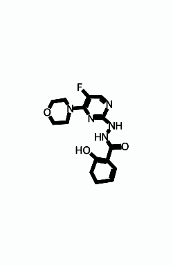 O=C(NNc1ncc(F)c(N2CCOCC2)n1)C1=C(O)CCC=C1